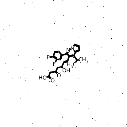 CC(C)c1c(C=CC(O)CC(=O)CC(=O)O)c(-c2ccc(F)c(F)c2)nn2cccc12